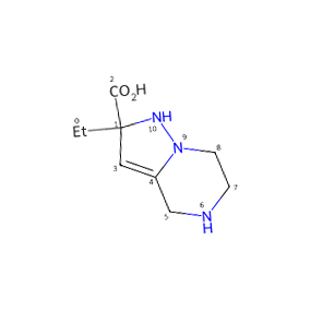 CCC1(C(=O)O)C=C2CNCCN2N1